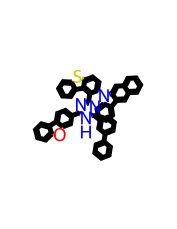 c1ccc(-c2cccc(C3=NC(c4c(-n5c6ccccc6c6cc7ccccc7cc65)ccc5sc6ccccc6c45)=NC(c4ccc5c(c4)oc4ccccc45)N3)c2)cc1